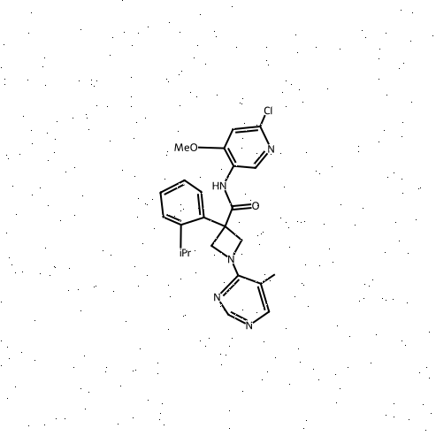 COc1cc(Cl)ncc1NC(=O)C1(c2ccccc2C(C)C)CN(c2ncncc2C)C1